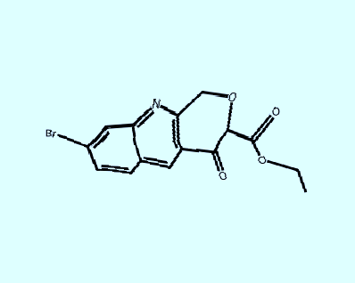 CCOC(=O)C1OCc2nc3cc(Br)ccc3cc2C1=O